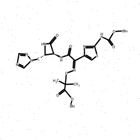 CC(C)(C)OC(=O)Nc1nc(C(=NOC(C)(C)C(=O)OC(C)(C)C)C(=O)N[C@@H]2C(=O)N[C@H]2Cn2cncn2)cs1